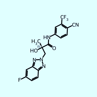 C[C@](O)(Cn1nc2ccc(F)cc2n1)C(=O)Nc1ccc(C#N)c(C(F)(F)F)c1